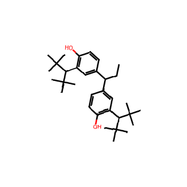 CCC(c1ccc(O)c(C(C(C)(C)C)C(C)(C)C)c1)c1ccc(O)c(C(C(C)(C)C)C(C)(C)C)c1